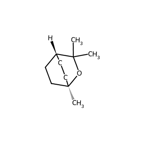 CC1(C)O[C@]2(C)CC[C@@H]1CC2